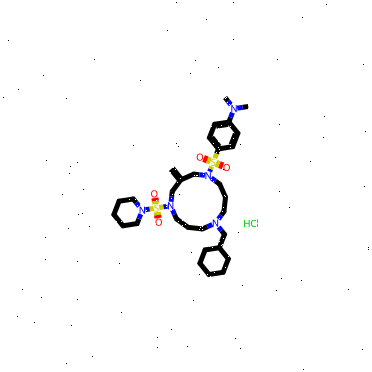 C=C1CN(S(=O)(=O)c2ccc(N(C)C)cc2)CCCN(CC2CCCCC2)CCCN(S(=O)(=O)N2CCCCC2)C1.Cl